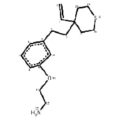 C=CC1(CCc2cccc(OCCN)c2)CCSCC1